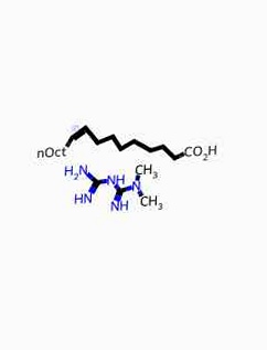 CCCCCCCC/C=C\CCCCCCCC(=O)O.CN(C)C(=N)NC(=N)N